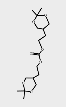 CC1(C)OCC(CCOC(=O)OCCC2COC(C)(C)OC2)CO1